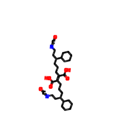 O=C=NCCC(CCCC(C(=O)O)=C(CCCC(CCN=C=O)C1CCCCC1)C(=O)O)C1CCCCC1